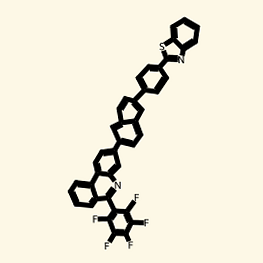 Fc1c(F)c(F)c(-c2nc3cc(-c4ccc5cc(-c6ccc(-c7nc8ccccc8s7)cc6)ccc5c4)ccc3c3ccccc23)c(F)c1F